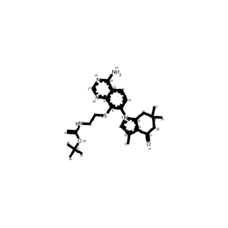 C=C(NCCSc1c(-n2cc(C)c3c2CC(C)(C)CC3=O)ccc2c(N)ncnc12)OC(C)(C)C